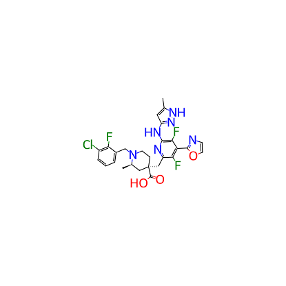 Cc1cc(Nc2nc(C[C@@]3(C(=O)O)CCN(Cc4cccc(Cl)c4F)[C@H](C)C3)c(F)c(-c3ncco3)c2F)n[nH]1